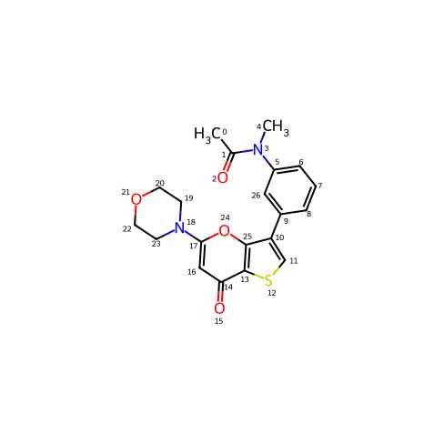 CC(=O)N(C)c1cccc(-c2csc3c(=O)cc(N4CCOCC4)oc23)c1